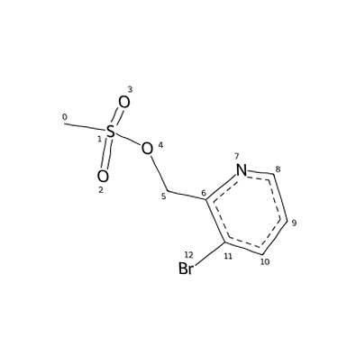 CS(=O)(=O)OCc1ncccc1Br